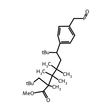 COC(=O)C(C)(CC(C)(C)C)C(C)(C)C(C)(C)CC(c1ccc(CP=O)cc1)C(C)(C)C